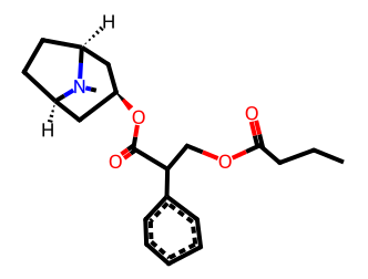 CCCC(=O)OCC(C(=O)O[C@H]1C[C@H]2CC[C@@H](C1)N2C)c1ccccc1